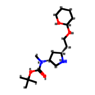 CN(C(=O)OC(C)(C)C)[C@H]1CN[C@@H](CCOC2CCCCO2)C1